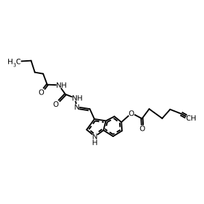 C#CCCCC(=O)Oc1ccc2[nH]cc(/C=N/NC(=O)NC(=O)CCCC)c2c1